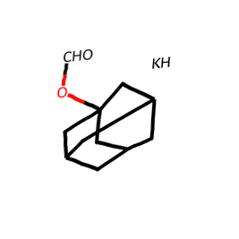 O=COC12CC3CC(CC(C3)C1)C2.[KH]